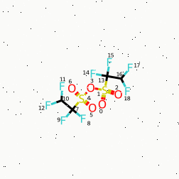 O=S(=O)(OS(=O)(=O)C(F)(F)C(F)F)C(F)(F)C(F)F